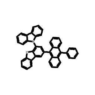 c1ccc(-c2c3ccccc3c(-c3cc(-n4c5ccccc5c5ccccc54)c4oc5ccccc5c4c3)c3ccccc23)cc1